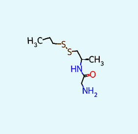 CCCSSC[C@@H](C)NC(=O)CN